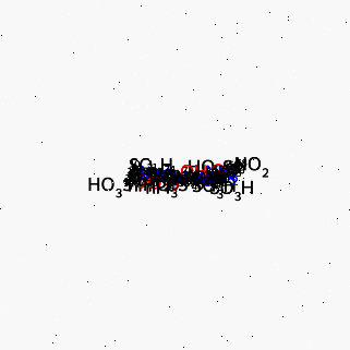 CCCOc1cc(N=Nc2cc(S(=O)(=O)O)cc3cc(S(=O)(=O)O)cc(O)c23)c(C)cc1N=Nc1cc(OCCC)c(N=Nc2c(S(=O)(=O)O)cc3c(S(=O)(=O)O)c(N=Nc4cc(S(=O)(=O)O)c5ccc(N=Nc6ccc([N+](=O)[O-])cc6S(=O)(=O)O)c(O)c5c4N)ccc3c2O)cc1C